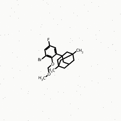 COCOc1c(Br)cc(F)cc1C12CC3CC(C)(CC(C)(C3)C1)C2